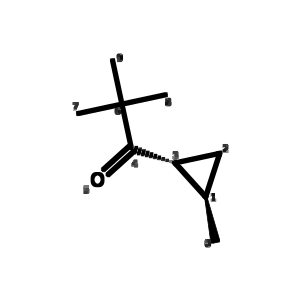 C[C@@H]1C[C@H]1C(=O)C(C)(C)C